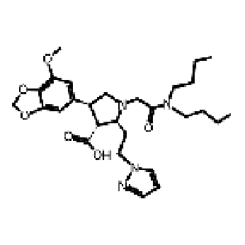 CCCCN(CCCC)C(=O)CN1C[C@H](c2cc(OC)c3c(c2)OCO3)[C@@H](C(=O)O)[C@@H]1CCn1cccn1